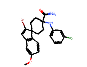 COc1ccc2c(c1)C=C(Br)C21CCC(Nc2cccc(Cl)c2)(C(N)=O)CC1